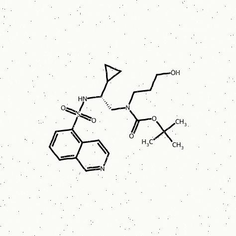 CC(C)(C)OC(=O)N(CCCO)C[C@H](NS(=O)(=O)c1cccc2cnccc12)C1CC1